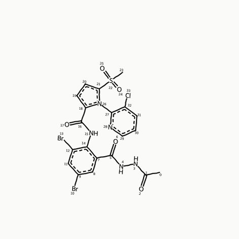 CC(=O)NNC(=O)c1cc(Br)cc(Br)c1NC(=O)c1ccc(S(C)(=O)=O)n1-c1ncccc1Cl